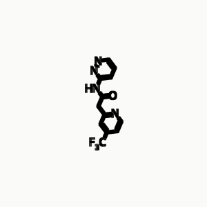 O=C(Cc1cc(C(F)(F)F)ccn1)Nc1cccnn1